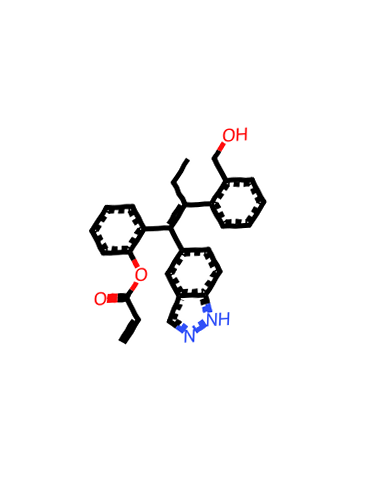 C=CC(=O)Oc1ccccc1/C(=C(\CC)c1ccccc1CO)c1ccc2[nH]ncc2c1